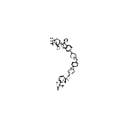 O=C1CCC(N2Cc3cc(C4CCN(Cc5ccc(N6CCC(Oc7cccc(C(F)(F)F)n7)CC6)cc5)CC4)ccc3C2=O)C(=O)N1